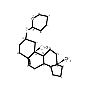 C[C@@]12CCCC1C1CC=C3CCC(OC4CCCCO4)C[C@]3(C=O)C1CC2